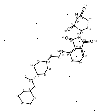 CN(CC1CCCCC1)[C@H]1CC[C@H](CCNc2cccc3c2C(=O)N(C2CCC(=O)NC2=O)C3=O)CC1